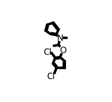 CC(Oc1ccc(Cl)cc1Cl)N(C)c1ccccc1